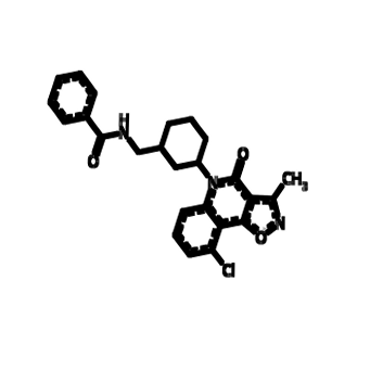 Cc1noc2c1c(=O)n(C1CCCC(CNC(=O)c3ccccc3)C1)c1cccc(Cl)c21